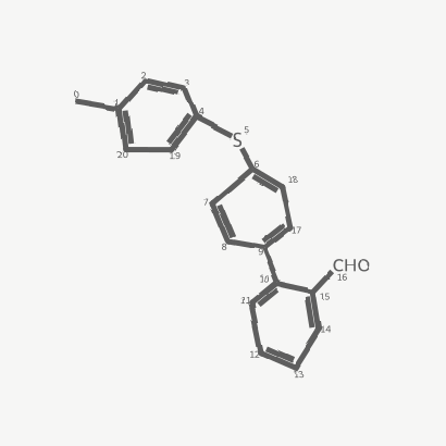 Cc1ccc(Sc2ccc(-c3ccccc3C=O)cc2)cc1